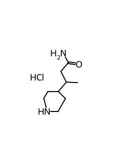 CC(CC(N)=O)C1CCNCC1.Cl